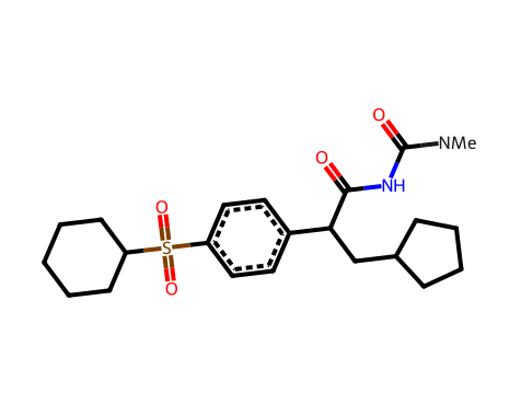 CNC(=O)NC(=O)C(CC1CCCC1)c1ccc(S(=O)(=O)C2CCCCC2)cc1